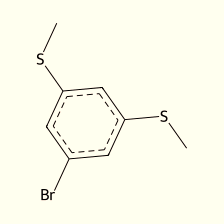 CSc1cc(Br)cc(SC)c1